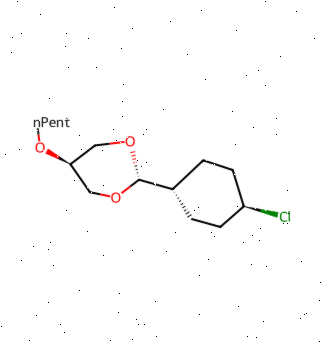 CCCCCO[C@H]1CO[C@H]([C@H]2CC[C@H](Cl)CC2)OC1